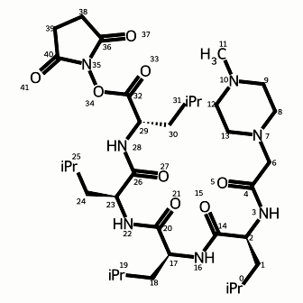 CC(C)C[C@H](NC(=O)CN1CCN(C)CC1)C(=O)N[C@@H](CC(C)C)C(=O)N[C@@H](CC(C)C)C(=O)N[C@@H](CC(C)C)C(=O)ON1C(=O)CCC1=O